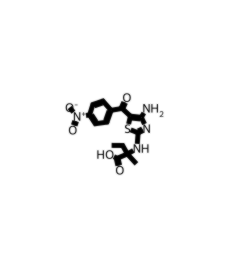 CCC(C)(Nc1nc(N)c(C(=O)c2ccc([N+](=O)[O-])cc2)s1)C(=O)O